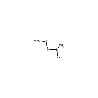 CSSSN(C)C(C)C